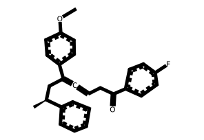 COc1ccc(C(=C=CCC(=O)c2ccc(F)cc2)C[C@H](C)c2ccccc2)cc1